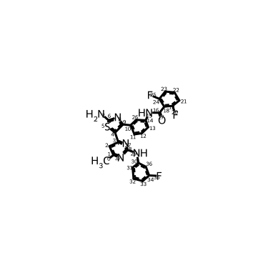 Cc1cc(-c2sc(N)nc2-c2cccc(NC(=O)c3c(F)cccc3F)c2)nc(Nc2cccc(F)c2)n1